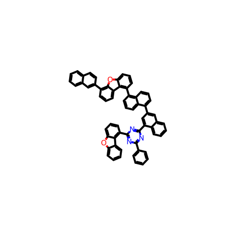 c1ccc(-c2nc(-c3cc(-c4cccc5c(-c6cccc7oc8c(-c9ccc%10ccccc%10c9)cccc8c67)cccc45)cc4ccccc34)nc(-c3cccc4oc5ccccc5c34)n2)cc1